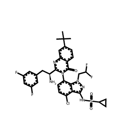 CC(C)(C)c1ccc2c(=O)n(-c3ccc(Cl)c4c(NS(=O)(=O)C5CC5)nn(CC(F)F)c34)c([C@@H](N)Cc3cc(F)cc(F)c3)nc2c1